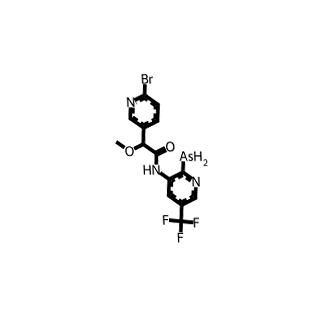 COC(C(=O)Nc1cc(C(F)(F)F)cnc1[AsH2])c1ccc(Br)nc1